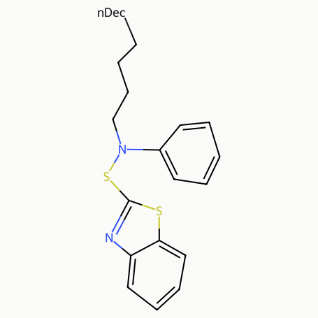 CCCCCCCCCCCCCCN(Sc1nc2ccccc2s1)c1ccccc1